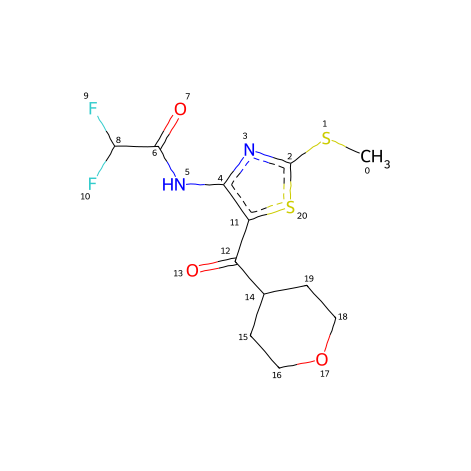 CSc1nc(NC(=O)C(F)F)c(C(=O)C2CCOCC2)s1